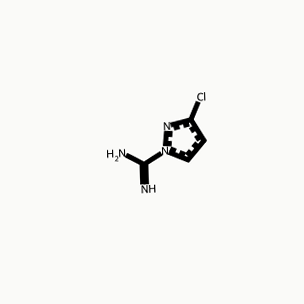 N=C(N)n1ccc(Cl)n1